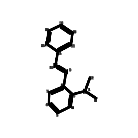 CN(C)c1ccccc1N=Nc1ccccn1